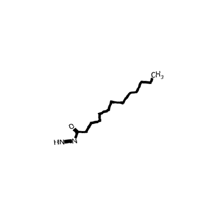 CCCCCCCCCCCCC(=O)N=N